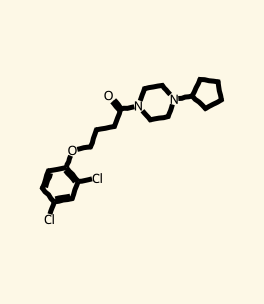 O=C(CCCOc1ccc(Cl)cc1Cl)N1CCN(C2CCCC2)CC1